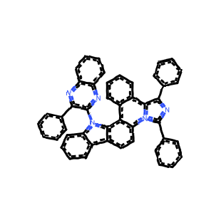 c1ccc(-c2nc3ccccc3nc2-n2c3ccccc3c3ccc4c(c5ccccc5c5c(-c6ccccc6)nc(-c6ccccc6)n45)c32)cc1